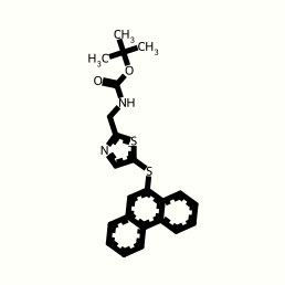 CC(C)(C)OC(=O)NCc1ncc(Sc2cc3ccccc3c3ccccc23)s1